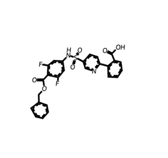 O=C(O)c1ccccc1-c1ccc(S(=O)(=O)Nc2cc(F)c(C(=O)OCc3ccccc3)c(F)c2)cn1